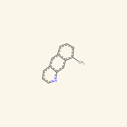 Cc1cccc2cc3cccnc3cc12